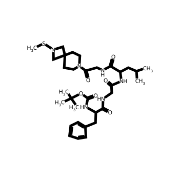 CSN1CC2(CCN(C(=O)CNC(=O)C(CC(C)C)NC(=O)CNC(=O)C(Cc3ccccc3)NC(=O)OC(C)(C)C)CC2)C1